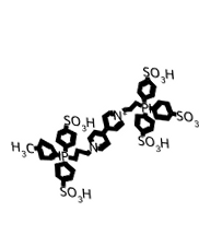 Cc1ccc([PH](CCC[n+]2ccc(-c3cc[n+](CCC[PH](c4ccc(S(=O)(=O)O)cc4)(c4ccc(S(=O)(=O)O)cc4)c4ccc(S(=O)(=O)O)cc4)cc3)cc2)(c2ccc(S(=O)(=O)O)cc2)c2ccc(S(=O)(=O)O)cc2)cc1